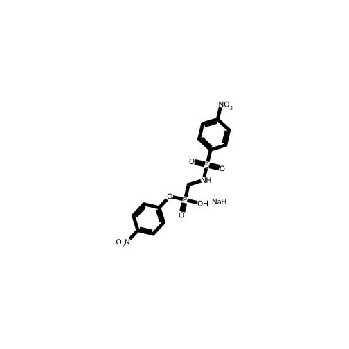 O=[N+]([O-])c1ccc(OP(=O)(O)CNS(=O)(=O)c2ccc([N+](=O)[O-])cc2)cc1.[NaH]